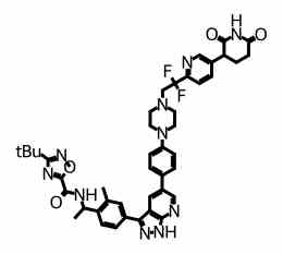 Cc1cc(-c2n[nH]c3ncc(-c4ccc(N5CCN(CC(F)(F)c6ccc(C7CCC(=O)NC7=O)cn6)CC5)cc4)cc23)ccc1C(C)NC(=O)c1nc(C(C)(C)C)no1